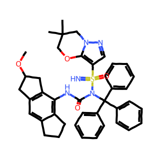 COC1Cc2cc3c(c(NC(=O)N(C(c4ccccc4)(c4ccccc4)c4ccccc4)S(=N)(=O)c4cnn5c4OCC(C)(C)C5)c2C1)CCC3